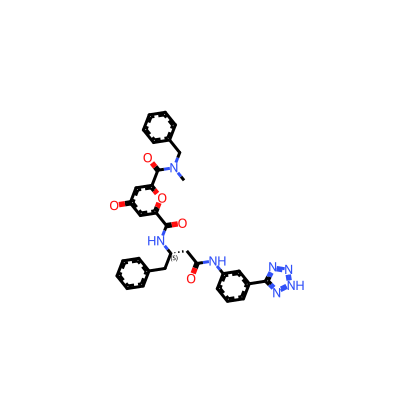 CN(Cc1ccccc1)C(=O)c1cc(=O)cc(C(=O)N[C@H](CC(=O)Nc2cccc(-c3nn[nH]n3)c2)Cc2ccccc2)o1